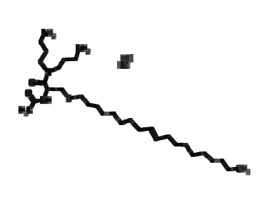 CCCCCCCCCC=CCCCCCCCCSCC(NC(C)=O)C(=O)N(CCCN)CCCN.Cl.Cl